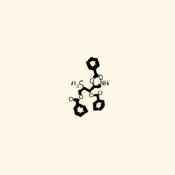 C[C@@H](COC(=O)c1ccccc1)[C@@H](OC(=O)c1ccccc1)[C@H](C=N)OC(=O)c1ccccc1